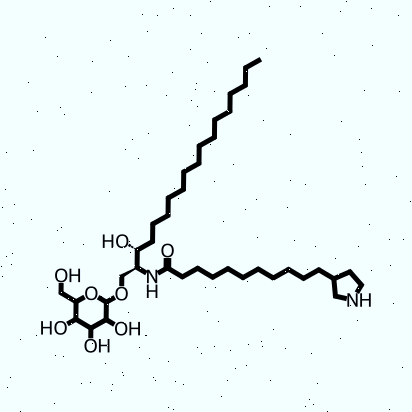 CCCCCCCCCCCCCCC[C@@H](O)[C@H](COC1OC(CO)C(O)C(O)C1O)NC(=O)CCCCCCCCCCC1CCNC1